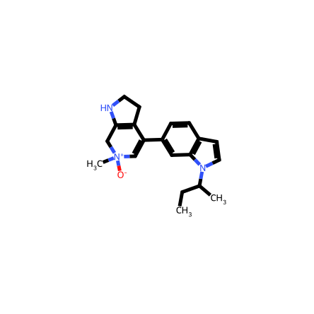 CCC(C)n1ccc2ccc(C3=C[N+](C)([O-])CC4=C3CCN4)cc21